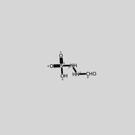 O=CNNS(=O)(=O)O